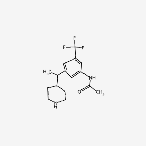 CC(=O)Nc1cc(C(C)C2CCNCC2)cc(C(F)(F)F)c1